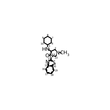 CN1CC(NC2CCCCC2)[N+]([O-])(c2nc3ccccc3s2)C1